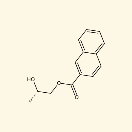 C[C@H](O)COC(=O)c1ccc2ccccc2c1